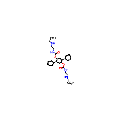 O=C(O)CNCCNC(=O)Oc1cc(-c2ccccc2)c(OC(=O)NCCNCC(=O)O)cc1-c1ccccc1